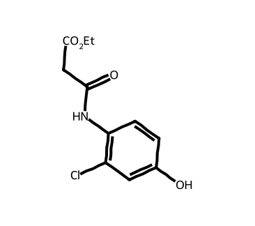 CCOC(=O)CC(=O)Nc1ccc(O)cc1Cl